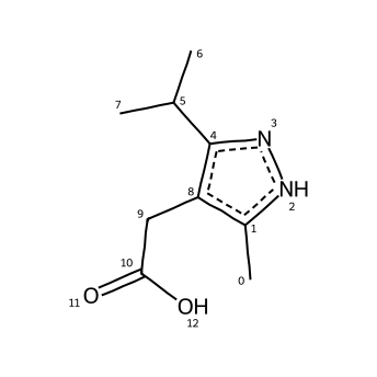 Cc1[nH]nc(C(C)C)c1CC(=O)O